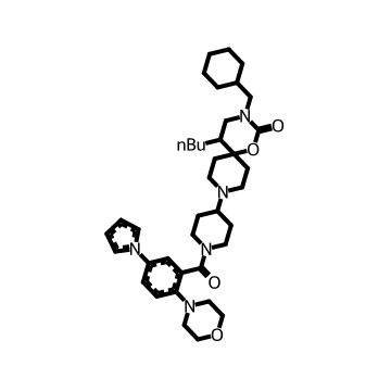 CCCCC1CN(CC2CCCCC2)C(=O)OC12CCN(C1CCN(C(=O)c3cc(-n4cccc4)ccc3N3CCOCC3)CC1)CC2